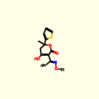 CCCC(=NOCC)C1=C(O)CC(C)(c2cccs2)OC1=O